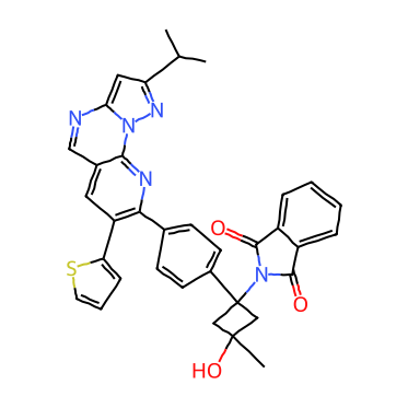 CC(C)c1cc2ncc3cc(-c4cccs4)c(-c4ccc(C5(N6C(=O)c7ccccc7C6=O)CC(C)(O)C5)cc4)nc3n2n1